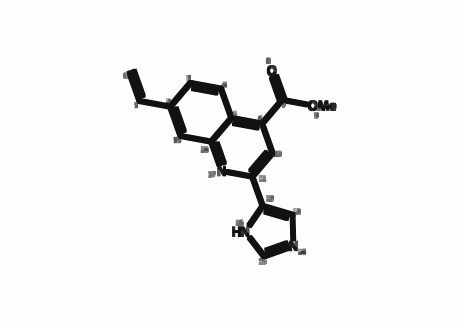 C=Cc1ccc2c(C(=O)OC)cc(-c3cnc[nH]3)nc2c1